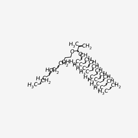 C=C(C)C(=O)OCCO.C=CC.C=CC.C=CC.C=CC.C=CC.C=CC.C=CC.C=CC.C=CC.C=CC.C=CC.C=CC